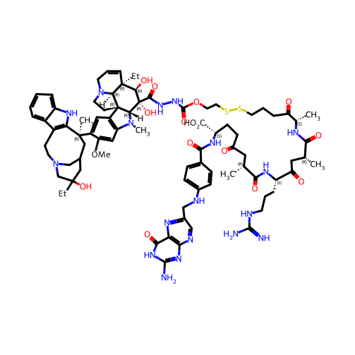 CCC1(O)CC2CN(CCc3c([nH]c4ccccc34)[C@@](C)(c3cc4c(cc3OC)N(C)[C@H]3[C@](O)(C(=O)NNC(=O)OCCSSCCCC(=O)[C@H](C)NC(=O)[C@H](C)CC(=O)[C@H](CCCNC(=N)N)NC(=O)[C@H](C)CC(=O)CC[C@H](NC(=O)c5ccc(NCc6cnc7nc(N)[nH]c(=O)c7n6)cc5)C(=O)O)[C@H](O)[C@]5(CC)C=CCN6CC[C@]43[C@@H]65)C2)C1